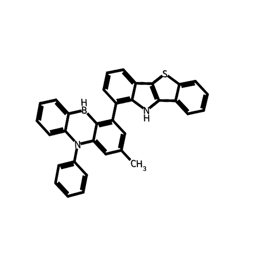 Cc1cc(-c2cccc3c2[nH]c2c4ccccc4sc32)c2c(c1)N(c1ccccc1)c1ccccc1B2